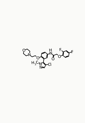 Cn1ncc(Cl)c1-c1cc(NC(=O)COc2ccc(F)cc2F)ccc1OCCN1CCOCC1